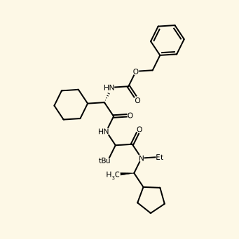 CCN(C(=O)C(NC(=O)[C@@H](NC(=O)OCc1ccccc1)C1CCCCC1)C(C)(C)C)[C@H](C)C1CCCC1